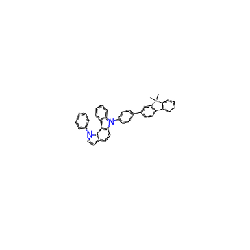 CC1(C)c2ccccc2-c2ccc(-c3ccc(-n4c5ccccc5c5c6c(ccc54)ccn6-c4ccccc4)cc3)cc21